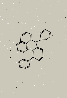 c1ccc(-c2cccc(P(c3ccccc3)c3ccccc3)c2-c2ccccc2)cc1